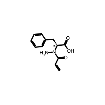 C=CC(=O)N(N)[C@@H](Cc1ccccc1)C(=O)O